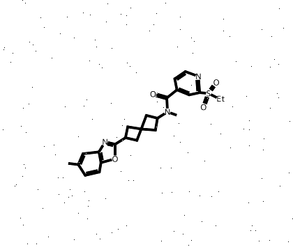 CCS(=O)(=O)c1cc(C(=O)N(C)C2CC3(CC(c4nc5cc(C)ccc5o4)C3)C2)ccn1